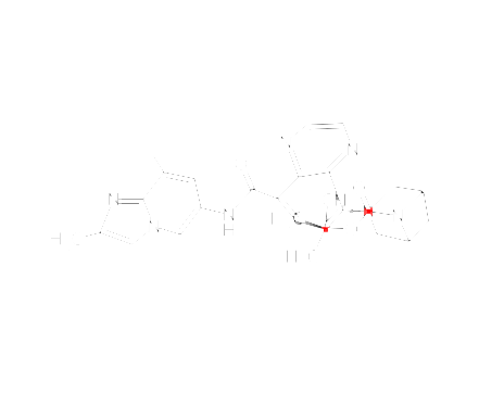 Cc1cn2cc(NC(=O)c3ccc(N4CC5CC(C4)N5C(=O)OC(C)(C)C)c4nccnc34)cc(F)c2n1